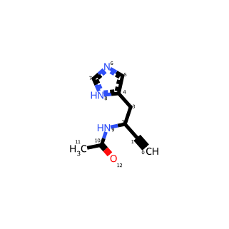 C#CC(Cc1cnc[nH]1)NC(C)=O